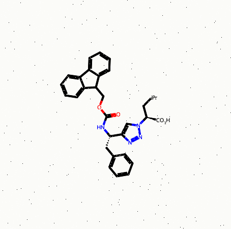 CC(C)C[C@@H](C(=O)O)n1cc([C@H](Cc2ccccc2)NC(=O)OCC2c3ccccc3-c3ccccc32)nn1